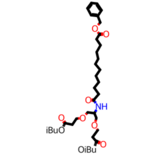 CC(C)COC(=O)CCOCC(COCCC(=O)OCC(C)C)NC(=O)CCCCCCCCCCC(=O)OCc1ccccc1